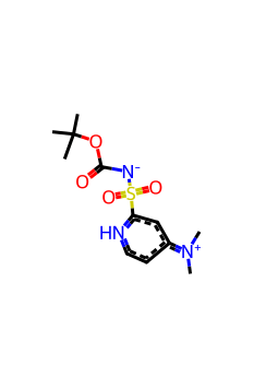 C[N+](C)=c1cc[nH]c(S(=O)(=O)[N-]C(=O)OC(C)(C)C)c1